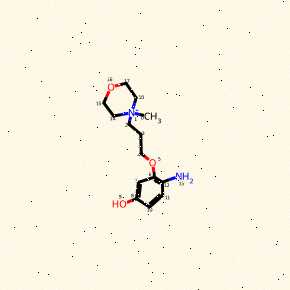 C[N+]1(CCCOc2cc(O)ccc2N)CCOCC1